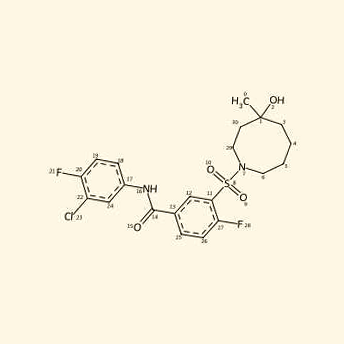 CC1(O)CCCCN(S(=O)(=O)c2cc(C(=O)Nc3ccc(F)c(Cl)c3)ccc2F)CC1